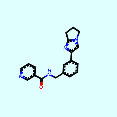 O=C(NCc1cccc(-c2cn3c(n2)CCC3)c1)c1cccnc1